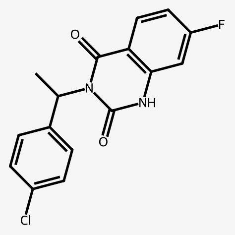 CC(c1ccc(Cl)cc1)n1c(=O)[nH]c2cc(F)ccc2c1=O